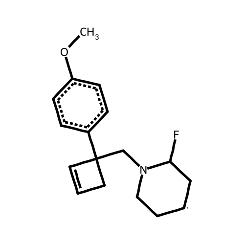 COc1ccc(C2(CN3CC[CH]CC3F)C=CC2)cc1